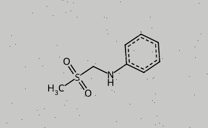 CS(=O)(=O)CNc1c[c]ccc1